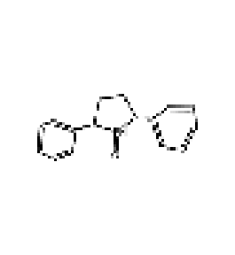 O=[PH]1[C@@H](c2ccccc2)CC[C@@H]1c1ccccc1